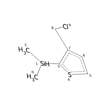 C[SiH](C)c1sccc1CCl